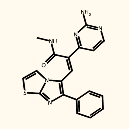 CNC(=O)C(=Cc1c(-c2ccccc2)nc2sccn12)c1ccnc(N)n1